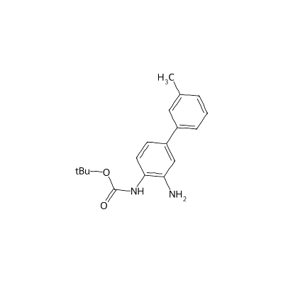 Cc1cccc(-c2ccc(NC(=O)OC(C)(C)C)c(N)c2)c1